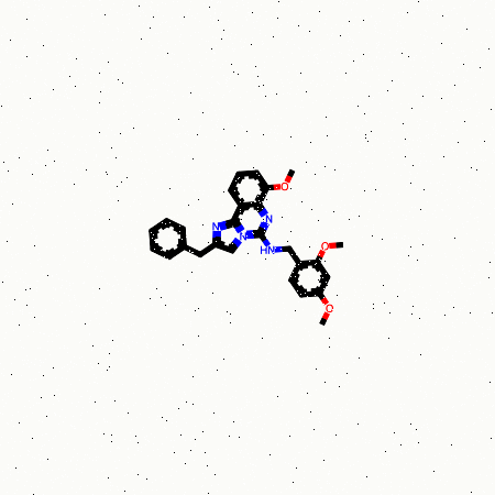 COc1ccc(CNc2nc3c(OC)cccc3c3nc(Cc4ccccc4)cn23)c(OC)c1